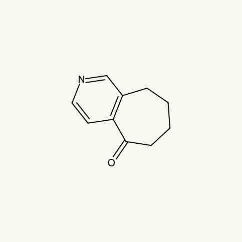 O=C1CCCCc2cnccc21